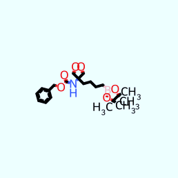 CC1(C)OB(CCCCC(C=O)(C=O)NC(=O)OCc2ccccc2)OC1(C)C